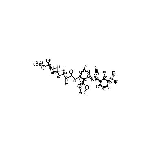 C#C[C@@H](Nc1nc(C)nc(CC(=O)NC2CC3(C2)CN(C(=O)OC(C)(C)C)C3)c1C1OCCO1)c1cccc(C(F)F)c1C